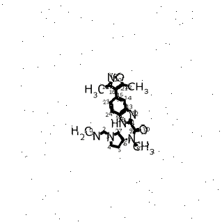 C=NCN1CC[C@@H](N(C)C(=O)c2nc3cc(-c4c(C)noc4C)ccc3[nH]2)C1